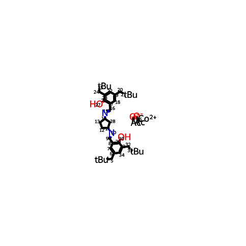 CC(=O)[O-].CC(=O)[O-].CC(C)(C)Cc1cc(C=NC2CCC(N=Cc3cc(CC(C)(C)C)cc(CC(C)(C)C)c3O)C2)c(O)c(CC(C)(C)C)c1.[Co+2]